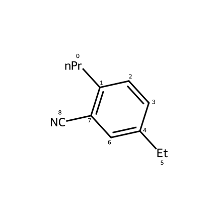 CCCc1ccc(CC)cc1C#N